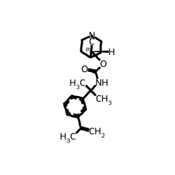 C=C(C)c1cccc(C(C)(C)NC(=O)O[C@H]2CN3CCC2CC3)c1